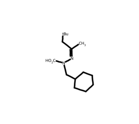 CC(CC(C)(C)C)=NN(CC1CCCCC1)C(=O)O